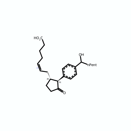 CCCCCC(O)c1ccc([C@H]2C(=O)CC[C@@H]2C/C=C\CCCC(=O)O)cc1